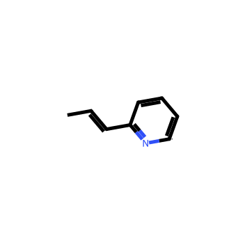 CC=Cc1ccc[c]n1